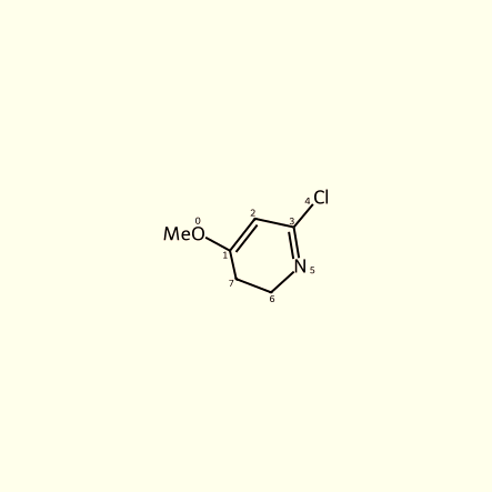 COC1=CC(Cl)=NCC1